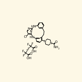 NC(=O)N1CCN(c2ccc3cc2CCc2cccc(c2)Nc2ncc(Cl)c(n2)N3)CC1.O=C(O)C(F)(F)F.O=C(O)C(F)(F)F